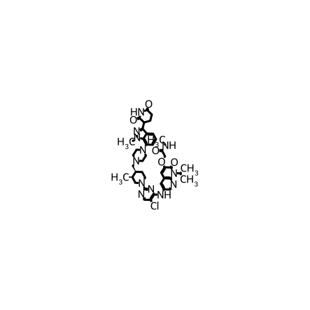 CNC(=O)COc1cc2cc(Nc3nc(N4CC[C@H](CN5CCN(c6cccc7c(C8CCC(=O)NC8=O)nn(C)c67)CC5)[C@H](C)C4)ncc3Cl)cnc2n(C(C)C)c1=O